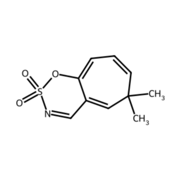 CC1(C)C=CC=C2OS(=O)(=O)N=CC2=C1